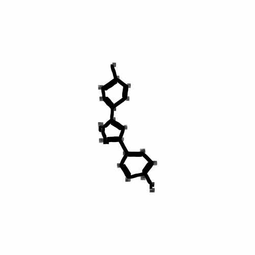 Cc1ccc(-c2cc(-c3ccc(F)cc3)no2)cc1